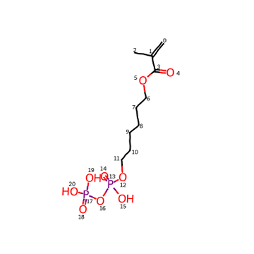 C=C(C)C(=O)OCCCCCCOP(=O)(O)OP(=O)(O)O